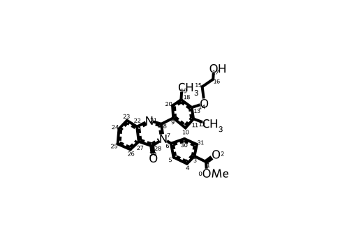 COC(=O)c1ccc(-n2c(-c3cc(C)c(OCCO)c(C)c3)nc3ccccc3c2=O)cc1